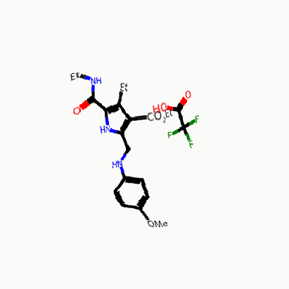 CCNC(=O)c1[nH]c(CNc2ccc(OC)cc2)c(C(=O)OCC)c1CC.O=C(O)C(F)(F)F